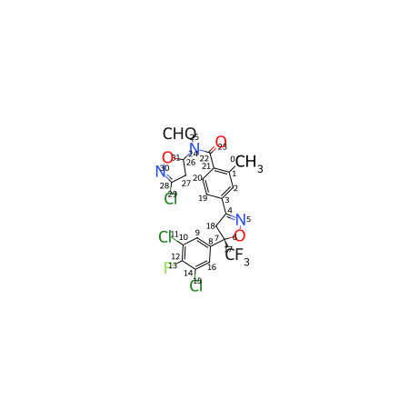 Cc1cc(C2=NO[C@@](c3cc(Cl)c(F)c(Cl)c3)(C(F)(F)F)C2)ccc1C(=O)N(C=O)C1CC(Cl)=NO1